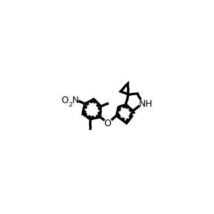 Cc1cc([N+](=O)[O-])cc(C)c1Oc1ccc2c(c1)C1(CC1)CN2